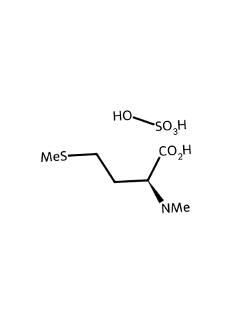 CN[C@@H](CCSC)C(=O)O.O=S(=O)(O)O